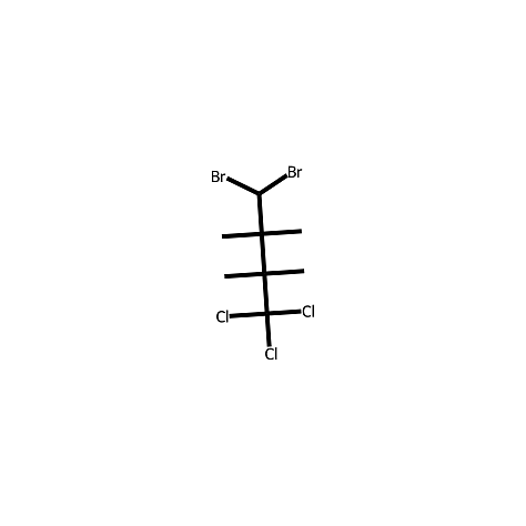 CC(C)(C(Br)Br)C(C)(C)C(Cl)(Cl)Cl